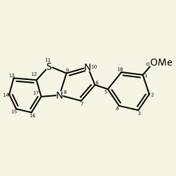 COc1cccc(-c2cn3c(n2)sc2ccccc23)c1